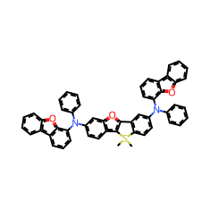 CS1(C)c2ccc(N(c3ccccc3)c3cccc4c3oc3ccccc34)cc2-c2oc3cc(N(c4ccccc4)c4cccc5c4oc4ccccc45)ccc3c21